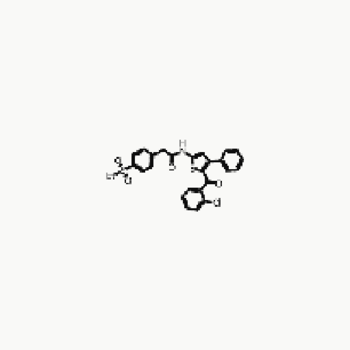 CCS(=O)(=O)c1ccc(CC(=O)Nc2cc(-c3ccccc3)c(C(=O)c3ccccc3Cl)s2)cc1